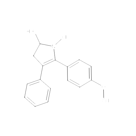 COc1ccc(C2=C(c3ccccc3)CC(C)N2C)cc1